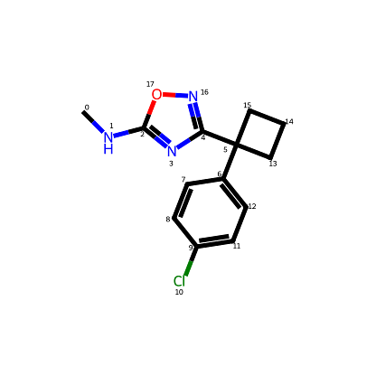 CNc1nc(C2(c3ccc(Cl)cc3)CCC2)no1